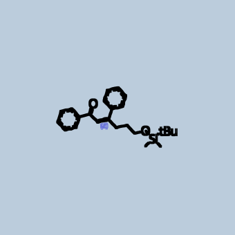 CC(C)(C)[Si](C)(C)OCCC/C(=C/C(=O)c1ccccc1)c1ccccc1